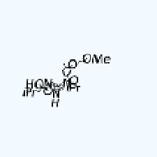 COCCCOc1cc(C(=O)N(C[C@@H]2CNC[C@H]2CN(C)C(=O)C(O)CC(C)C)C(C)C)ccc1C